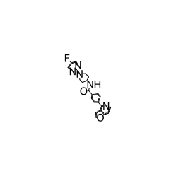 O=C(NC1CCN(c2ncc(F)cn2)CC1)c1ccc(-c2nccc3occc23)cc1